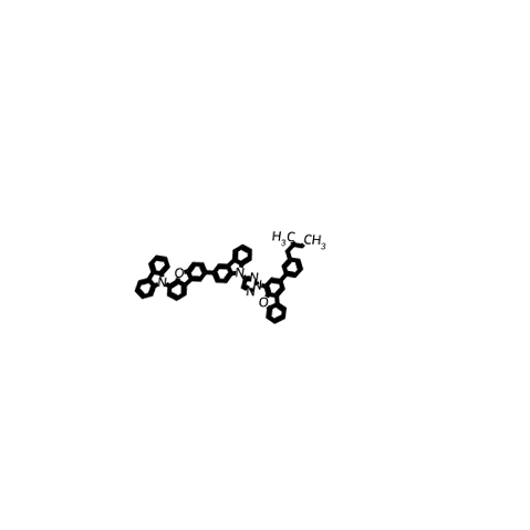 CCC(C)Cc1cccc(-c2cc(-n3ncc(-n4c5ccccc5c5cc(-c6ccc7oc8c(-n9c%10ccccc%10c%10ccccc%109)cccc8c7c6)ccc54)n3)c3oc4ccccc4c3c2)c1